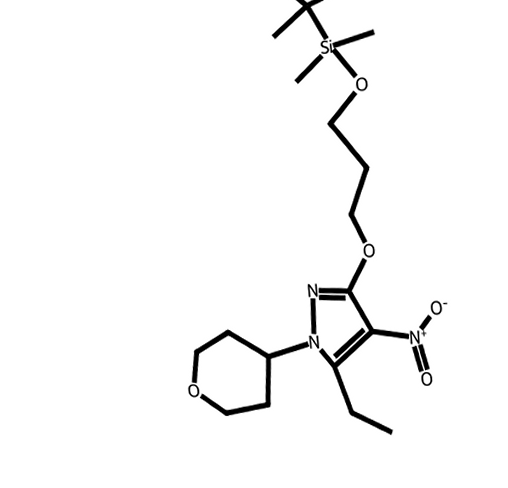 CCc1c([N+](=O)[O-])c(OCCCO[Si](C)(C)C(C)(C)C)nn1C1CCOCC1